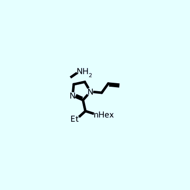 C=CCN1CCN=C1C(CC)CCCCCC.CN